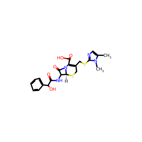 Cc1cnc(SCC2=C(C(=O)O)N3C(=O)C(NC(=O)C(O)c4ccccc4)[C@@H]3SC2)n1C